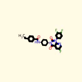 C=Cc1ccc(C(=O)N[C@H]2CC[C@@H](n3c(=O)c4cc(F)cnc4n(-c4ccc(F)c(F)c4)c3=O)CC2)cc1